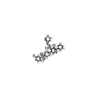 Cc1ccc(F)cc1S(=O)(=O)N1CCN(c2cnn(-c3ccccc3)c(=O)c2NCCN2CCCCC2)CC1